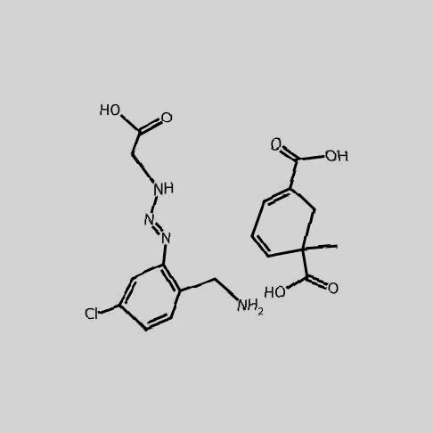 CC1(C(=O)O)C=CC=C(C(=O)O)C1.NCc1ccc(Cl)cc1N=NNCC(=O)O